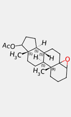 CC(=O)OC1CC[C@H]2[C@@H]3CCC45OC4CCC[C@]5(C)[C@H]3CC[C@]12C